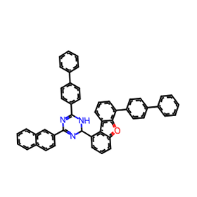 c1ccc(-c2ccc(C3=NC(c4ccc5ccccc5c4)=NC(c4cccc5oc6c(-c7ccc(-c8ccccc8)cc7)cccc6c45)N3)cc2)cc1